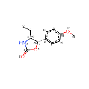 CC[C@@H]1NC(=O)O[C@H]1c1ccc(OC)cc1